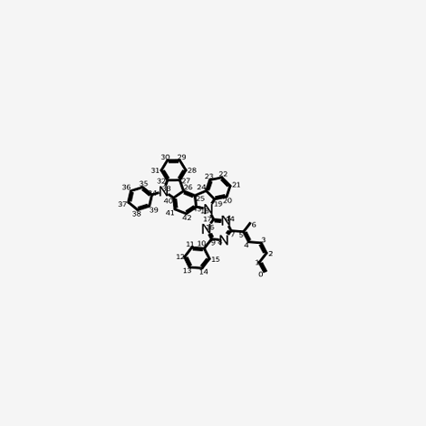 C=C/C=C\C=C(/C)c1nc(-c2ccccc2)nc(-n2c3ccccc3c3c4c5ccccc5n(-c5ccccc5)c4ccc32)n1